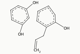 C=CCc1ccccc1O.Oc1cccc(O)c1